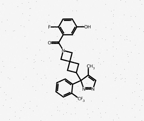 CC1=CN=NC1(c1ccccc1C(F)(F)F)C1CC2(C1)CN(C(=O)c1cc(O)ccc1F)C2